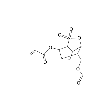 C=CC(=O)OC1C2CC3C(OS(=O)(=O)C31)C2COC=O